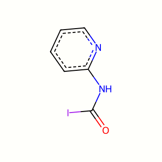 O=C(I)Nc1ccccn1